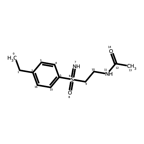 CCc1ccc(S(=N)(=O)CCNC(C)=O)cc1